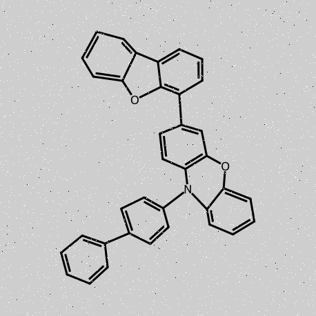 c1ccc(-c2ccc(N3c4ccccc4Oc4cc(-c5cccc6c5oc5ccccc56)ccc43)cc2)cc1